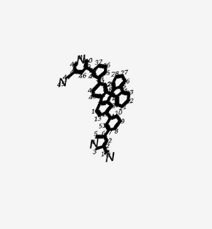 N#Cc1cncc(-c2cccc(-c3ccc4c(c3)C3(c5ccccc5-c5ccccc53)c3cc(-c5cccc(-c6cncc(C#N)c6)c5)ccc3-4)c2)c1